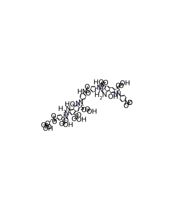 Nc1c(/N=N/c2ccc(S(=O)(=O)Nc3ccc(/N=N/c4c(SOOO)cc5c(S(=O)(=O)O)cc(/N=N/c6ccc(S(=O)(=O)CCOS(=O)(=O)O)cc6S(=O)(=O)O)c(N)c5c4O)cc3)cc2)c(S(=O)(=O)O)cc2cc(SOOO)c(/N=N/c3ccc([N+](=O)[O-])cc3)c(O)c12